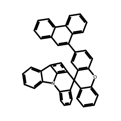 c1ccc2c(c1)Oc1ccc(-c3cc4ccccc4c4ccccc34)cc1C21c2ccccc2-n2c3ccccc3c3cccc1c32